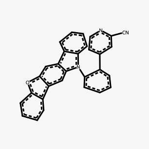 N#Cc1cc(-c2ccccc2-n2c3ccccc3c3cc4oc5ccccc5c4cc32)ccn1